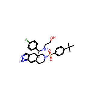 CC(C)(C)c1ccc(S(=O)(=O)N2CCC3=Cc4[nH]ncc4C[C@@]3(C(NCCO)c3ccc(F)cc3)C2)cc1